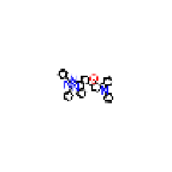 C1=CC2c3c(ccc(-c4nc(-c5ccccc5)nc(-c5ccccc5)n4)c3-c3ccccc3)OC2c2c1n(-c1ccccc1)c1ccccc21